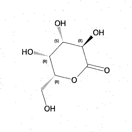 O=C1O[C@H](CO)[C@H](O)[C@H](O)[C@H]1O